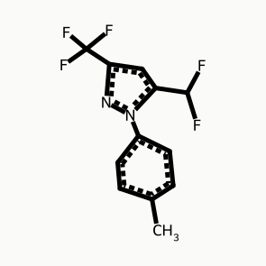 Cc1ccc(-n2nc(C(F)(F)F)cc2C(F)F)cc1